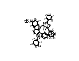 CC(C)(C)c1ccc2c(c1)c1c(ccc3c4cc(C(C)(C)C)ccc4n(-c4nc(-c5ccccc5)nc(-c5ccccc5)n4)c31)n2-c1ccccc1